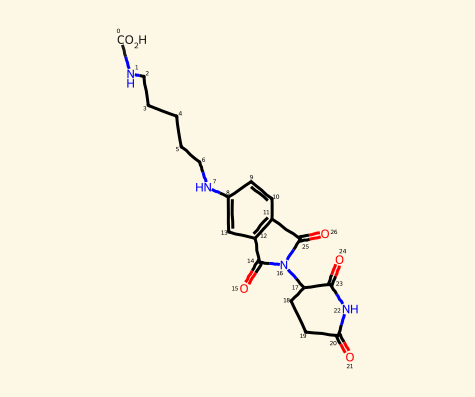 O=C(O)NCCCCCNc1ccc2c(c1)C(=O)N(C1CCC(=O)NC1=O)C2=O